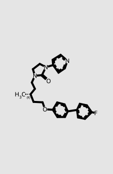 C[C@@H](CCOc1ccc(-c2ccc(F)cc2)cc1)CCN1CCN(c2ccncc2)C1=O